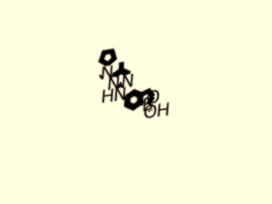 Cc1cnc(Nc2ccc3c(c2)COB3O)nc1N(C)C1CCCC1